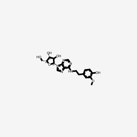 COc1cc(CCNc2ncnc3c2ncn3[C@@H]2O[C@H](CO)[C@H](O)C2O)ccc1O